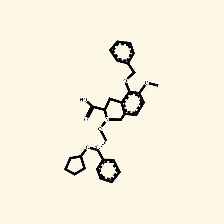 COc1ccc2c(c1OCc1ccccc1)CC(C(=O)O)N(OC[C@@H](OC1CCCC1)c1ccccc1)C2